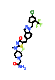 CN(C1=NC(=O)C(=Cc2ccc3c(cnn3Cc3ccc(Cl)cc3C(F)(F)F)c2)S1)[C@H]1CCN(CC(N)=O)C[C@H]1F